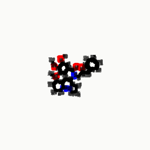 COc1cc(C(=O)N(Cc2cc3ccccc3o2)C(CC2CCCCC2)C2CCCN2)cc(OC)c1OC